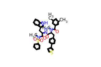 Cc1cc(C)cc(C(=O)N(C)C(Cc2ccc(-c3ccsc3)cc2)C(=O)NC(Cc2c[nH]c3ccccc23)C(=O)N(C)S(=O)(=O)c2ccccc2)c1